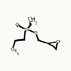 CCC[Si](C)([O])OCC1CO1